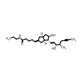 CC#CC[C@@H](C)[C@H](O)/C=C/[C@@H]1[C@H]2C/C(=C/CCCC(=O)NCCC)C[C@H]2C[C@H]1O